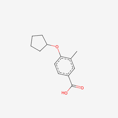 Cc1cc(C(=O)O)ccc1OC1CCCC1